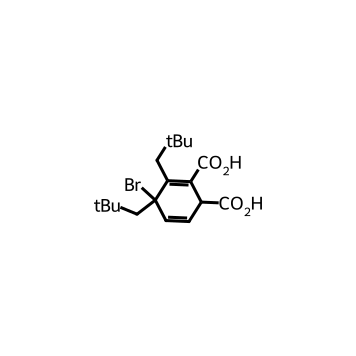 CC(C)(C)CC1=C(C(=O)O)C(C(=O)O)C=CC1(Br)CC(C)(C)C